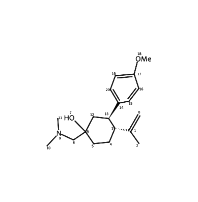 C=C(C)[C@@H]1CCC(O)(CN(C)C)C[C@H]1c1ccc(OC)cc1